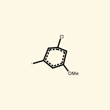 [CH]c1cc(Cl)cc(OC)c1